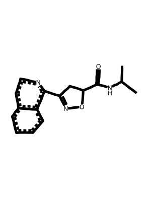 CC(C)NC(=O)C1CC(c2nccc3ccccc23)=NO1